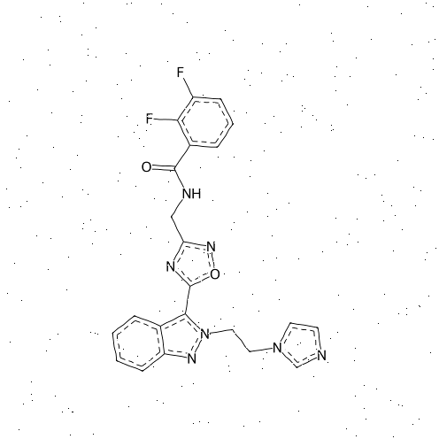 O=C(NCc1noc(-c2c3ccccc3nn2CCn2ccnc2)n1)c1cccc(F)c1F